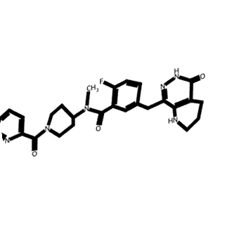 CN(C(=O)c1cc(Cc2n[nH]c(=O)c3c2NCCC3)ccc1F)C1CCN(C(=O)c2ccccn2)CC1